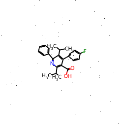 CC(C)c1nc(-c2ccccc2)c(C(C)C)c(-c2ccc(F)cc2)c1C(=O)O